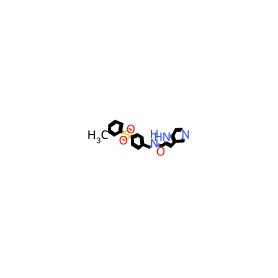 Cc1cccc(S(=O)(=O)c2ccc(CNC(=O)c3cc4cnccc4[nH]3)cc2)c1